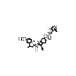 C#Cc1c(NC(=O)CC(C)c2cccc(O)c2)sc2c1CCC(OC(=O)NCc1ccnn1C)C2